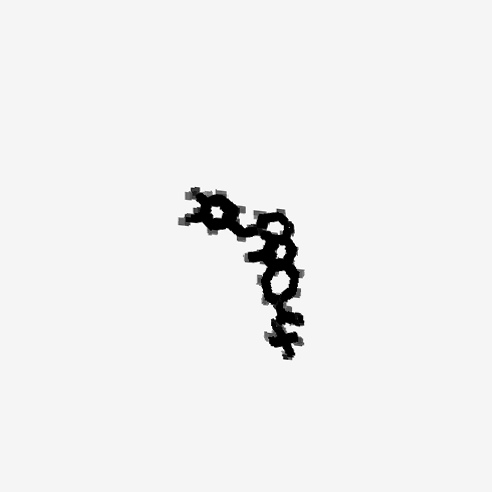 Cc1c2c(cc3c1N(Cc1ccc(F)c(F)c1)CCO3)CCN(C(=O)OC(C)(C)C)CC2